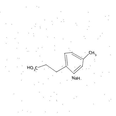 Cc1ccc(CCC(=O)O)cc1.[NaH]